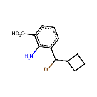 Nc1c(C(=O)O)cccc1C(Br)C1CCC1